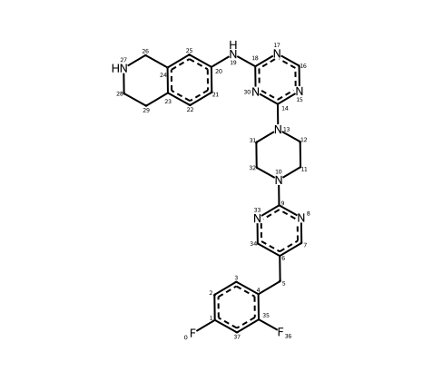 Fc1ccc(Cc2cnc(N3CCN(c4ncnc(Nc5ccc6c(c5)CNCC6)n4)CC3)nc2)c(F)c1